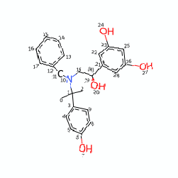 CC(C)(c1ccc(O)cc1)N(Cc1ccccc1)C[C@H](O)c1cc(O)cc(O)c1